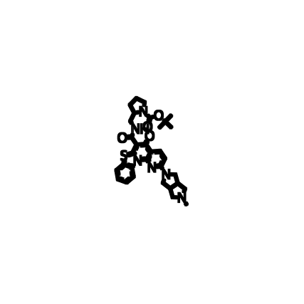 CN1CC2CN(c3ccc4c(=O)c(C(=O)NCC5CCCN5C(=O)OC(C)(C)C)c5sc6ccccc6n5c4n3)CC2C1